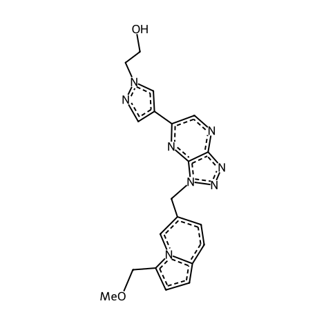 COCc1ccc2ccc(Cn3nnc4ncc(-c5cnn(CCO)c5)nc43)cn12